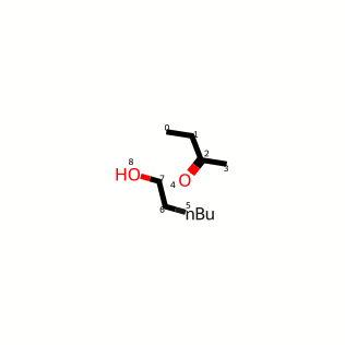 CCC(C)=O.CCCCCCO